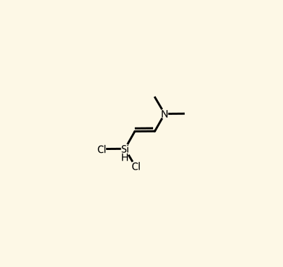 CN(C)C=C[SiH](Cl)Cl